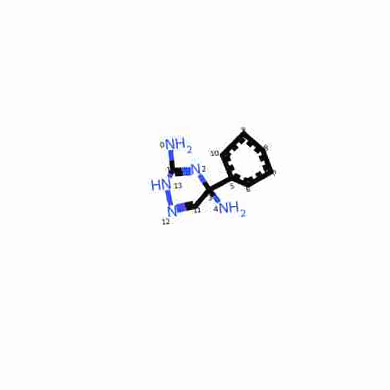 NC1=NC(N)(c2ccccc2)C=NN1